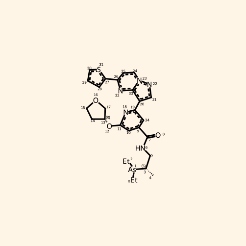 CC[As](CC)[C@@H](C)CNC(=O)c1cc(O[C@@H]2CCOC2)nc(-c2cnn3ccc(-c4cccs4)nc23)c1